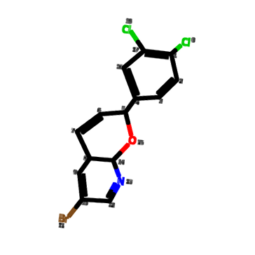 Clc1ccc(C2C=CC3C=C(Br)C=NC3O2)cc1Cl